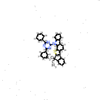 CC1(C)c2ccccc2-c2c1sc1c2ccc2c3ccccc3n(-c3nc(-c4ccccc4)nc(-c4ccccc4)n3)c21